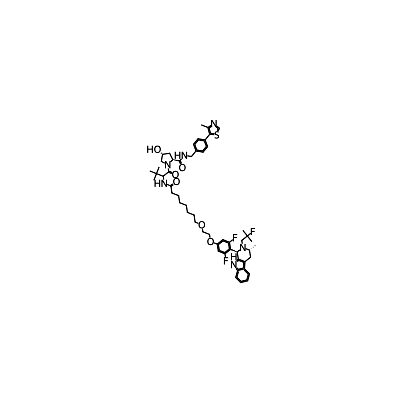 Cc1ncsc1-c1ccc(CNC(=O)[C@@H]2C[C@@H](O)CN2C(=O)[C@@H](NC(=O)CCCCCCCOCCOc2cc(F)c([C@@H]3c4[nH]c5ccccc5c4C[C@@H](C)N3CC(C)(C)F)c(F)c2)C(C)(C)C)cc1